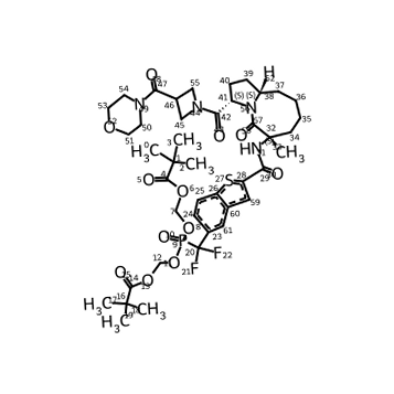 CC(C)(C)C(=O)OCOP(=O)(OCOC(=O)C(C)(C)C)C(F)(F)c1ccc2sc(C(=O)N[C@@]3(C)CCCC[C@H]4CC[C@@H](C(=O)N5CC(C(=O)N6CCOCC6)C5)N4C3=O)cc2c1